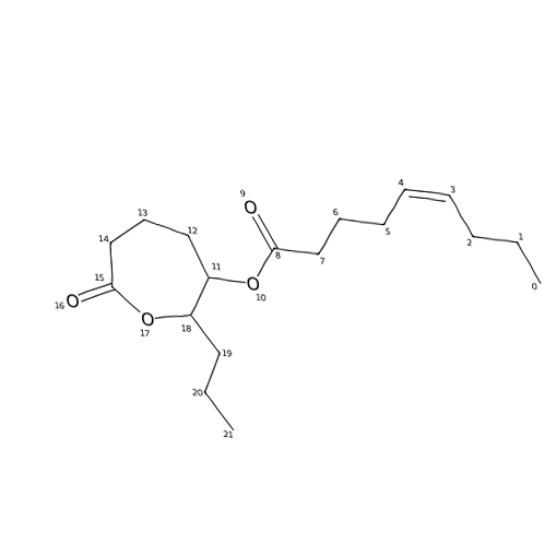 CCC/C=C\CCCC(=O)OC1CCCC(=O)OC1CCC